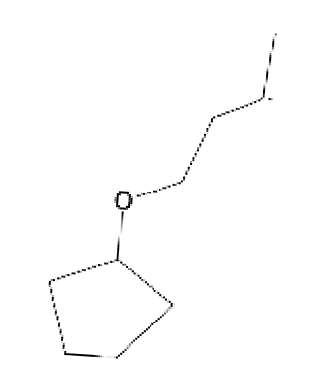 C[CH]CCOC1CCCC1